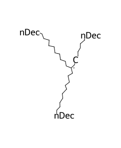 CCCCCCCCCCCCCCCCCCCC[C](CCCCCCCCCCCCCCCCC)CCCCCCCCCCCCCCCCCCCC